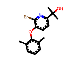 Cc1cccc(C)c1Oc1ccc(C(C)(C)O)nc1Br